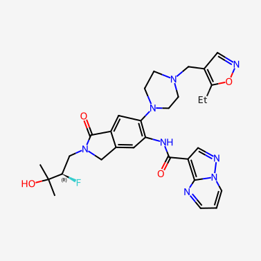 CCc1oncc1CN1CCN(c2cc3c(cc2NC(=O)c2cnn4cccnc24)CN(C[C@@H](F)C(C)(C)O)C3=O)CC1